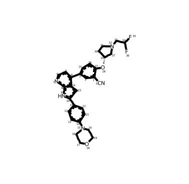 N#Cc1cc(-c2ccnc3[nH]c(-c4ccc(N5CCOCC5)cc4)cc23)ccc1O[C@@H]1CCN(CC(F)F)C1